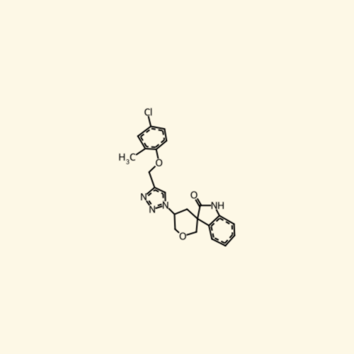 Cc1cc(Cl)ccc1OCc1cn(C2COCC3(C2)C(=O)Nc2ccccc23)nn1